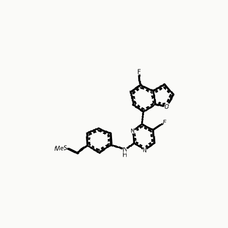 CSCc1cccc(Nc2ncc(F)c(-c3ccc(F)c4ccoc34)n2)c1